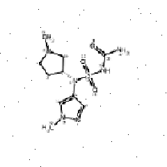 CN1CC[C@@H](N(c2cnn(C)c2)S(=O)(=O)NC(N)=O)C1